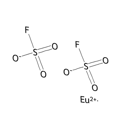 O=S(=O)([O-])F.O=S(=O)([O-])F.[Eu+2]